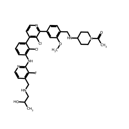 COc1cc(-c2nccc(-c3cccc(Nc4nccc(CNCC(C)O)c4F)c3Cl)c2Cl)ccc1CNC1CCN(C(C)=O)CC1